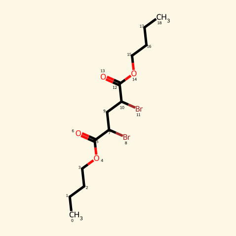 CCCCOC(=O)C(Br)CC(Br)C(=O)OCCCC